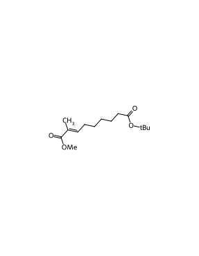 COC(=O)C(C)=CCCCCCC(=O)OC(C)(C)C